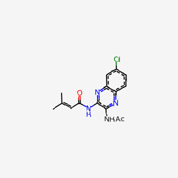 CC(=O)Nc1nc2ccc(Cl)cc2nc1NC(=O)C=C(C)C